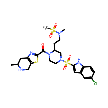 CC1Cc2nc(C(=O)N3CCN(S(=O)(=O)c4cc5cc(Cl)ccc5[nH]4)CC3CCN(C)S(=O)(=O)C(F)(F)F)sc2CN1